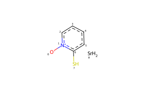 [O-][n+]1ccccc1S.[SrH2]